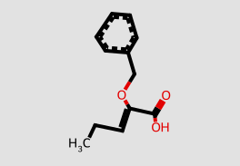 CC/C=C(\OCc1ccccc1)C(=O)O